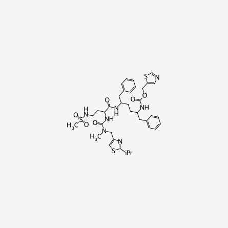 CC(C)c1nc(CN(C)C(=O)NC(CCNS(C)(=O)=O)C(=O)NC(CCC(Cc2ccccc2)NC(=O)OCc2cncs2)Cc2ccccc2)cs1